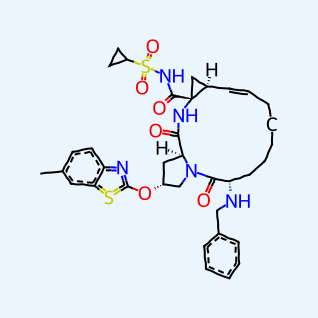 Cc1ccc2nc(O[C@@H]3C[C@H]4C(=O)N[C@]5(C(=O)NS(=O)(=O)C6CC6)C[C@H]5/C=C\CCCCC[C@H](NCc5ccccc5)C(=O)N4C3)sc2c1